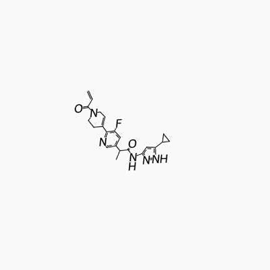 C=CC(=O)N1CC=C(c2ncc(C(C)C(=O)Nc3cc(C4CC4)[nH]n3)cc2F)CC1